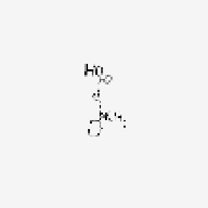 CN(CCOCCC(=O)O)C1CCCCC1